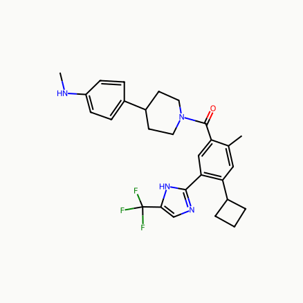 CNc1ccc(C2CCN(C(=O)c3cc(-c4ncc(C(F)(F)F)[nH]4)c(C4CCC4)cc3C)CC2)cc1